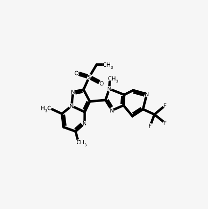 CCS(=O)(=O)c1nn2c(C)cc(C)nc2c1-c1nc2cc(C(F)(F)F)ncc2n1C